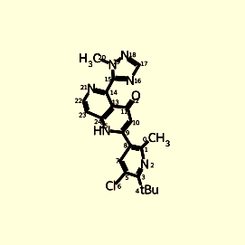 Cc1nc(C(C)(C)C)c(Cl)cc1-c1cc(=O)c2c(-c3ncnn3C)nccc2[nH]1